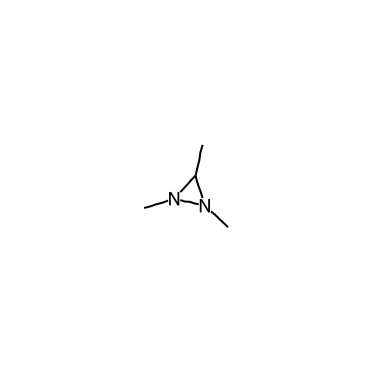 CC1N(C)N1C